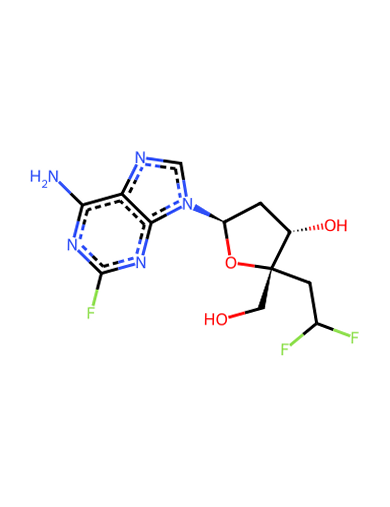 Nc1nc(F)nc2c1ncn2[C@H]1C[C@H](O)[C@](CO)(CC(F)F)O1